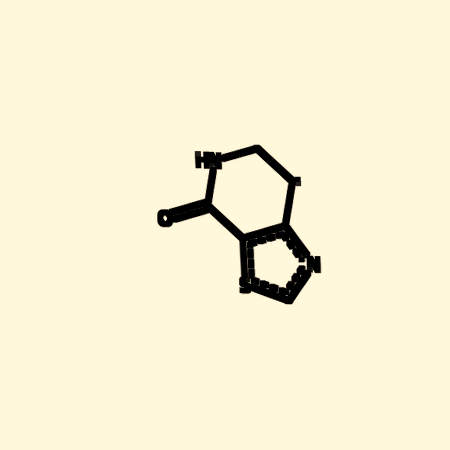 O=C1NC[C]c2ncsc21